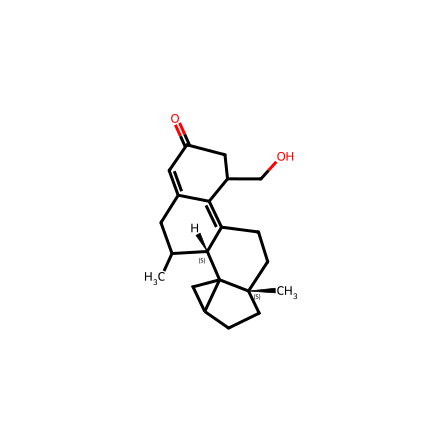 CC1CC2=CC(=O)CC(CO)C2=C2CC[C@]3(C)CCC4CC43[C@@H]21